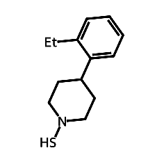 CCc1ccccc1C1CCN(S)CC1